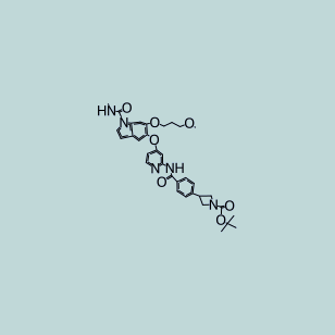 CNC(=O)n1ccc2cc(Oc3ccnc(NC(=O)c4ccc(C5CN(C(=O)OC(C)(C)C)C5)cc4)c3)c(OCCCOC)cc21